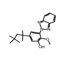 COc1c(O)cc(C(C)(C)CC(C)(C)C)cc1-n1nc2ccccc2n1